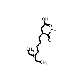 CCN(CC)CCCCC(CC(=O)O)C(=O)O